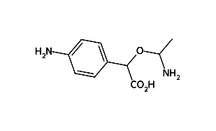 CC(N)OC(C(=O)O)c1ccc(N)cc1